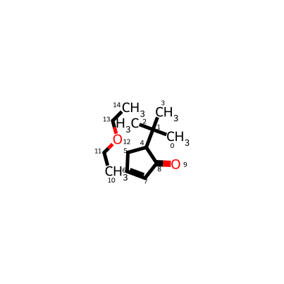 CC(C)(C)C1CC=CC1=O.CCOCC